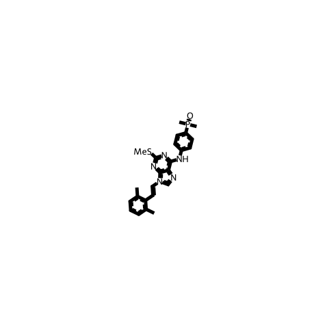 CSc1nc(Nc2ccc(P(C)(C)=O)cc2)c2ncn(/C=C/c3c(C)cccc3C)c2n1